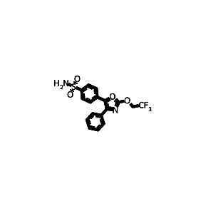 NS(=O)(=O)c1ccc(-c2oc(OCC(F)(F)F)nc2-c2ccccc2)cc1